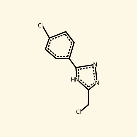 ClCc1nnc(-c2ccc(Cl)cc2)[nH]1